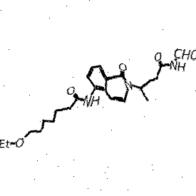 CCOCCCCCCC(=O)Nc1cccc2c(=O)n(C(C)CCC(=O)NC=O)ccc12